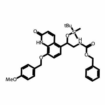 COc1ccc(COc2ccc(C(CNC(=O)OCc3ccccc3)O[Si](C)(C)C(C)(C)C)c3ccc(=O)[nH]c23)cc1